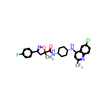 CC1(C(=O)N[C@H]2CC[C@@H](Nc3cc(C(F)(F)F)nc4ccc(Cl)cc34)CC2)CC(c2ccc(F)cc2)=NO1